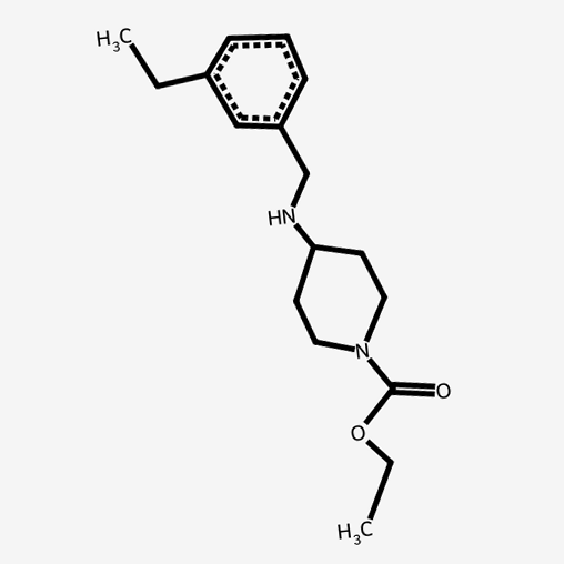 CCOC(=O)N1CCC(NCc2cccc(CC)c2)CC1